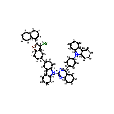 Brc1c(-c2cccc3ccccc23)sc2ccc(-c3ccc4c(c3)c3ccccc3n4-c3nc(-c4ccc(-n5c6c(c7ccccc75)=CCCC=6)cc4)c4ccccc4n3)cc12